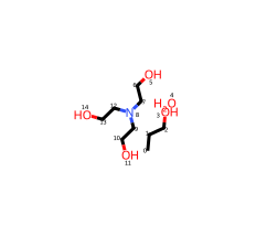 CCCO.O.OCCN(CCO)CCO